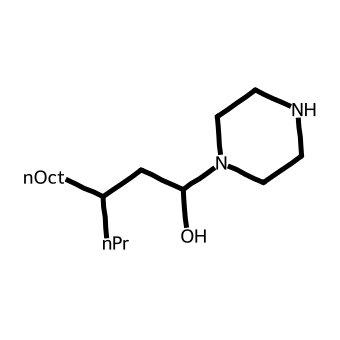 CCCCCCCCC(CCC)CC(O)N1CCNCC1